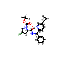 CC(C)(C)OC(=O)N1C[C@H](F)C[C@H]1C(=O)NC(c1ccccc1)c1ccc(C2CC2)cn1